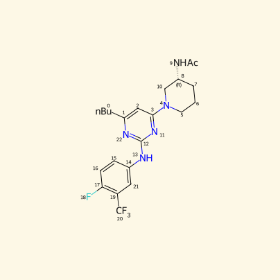 CCCCc1cc(N2CCC[C@@H](NC(C)=O)C2)nc(Nc2ccc(F)c(C(F)(F)F)c2)n1